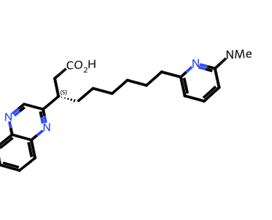 CNc1cccc(CCCCCC[C@@H](CC(=O)O)c2cnc3ccccc3n2)n1